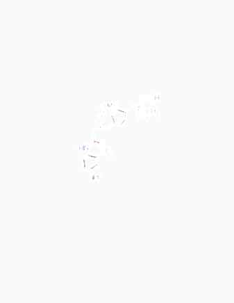 COCCN(CC(=O)Nc1ccc(C(C)C)cc1C(F)(F)F)Cc1ccc(SC(C)(C)C(=O)O)cc1